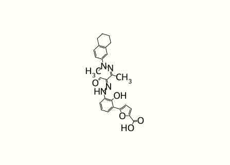 CC(=N/N(C)c1ccc2c(c1)CCCC2)/C(C=O)=N/Nc1cccc(-c2ccc(C(=O)O)o2)c1O